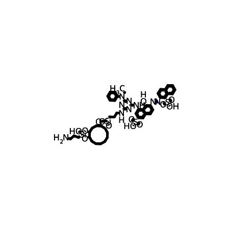 CCN(c1ccccc1)c1nc(NCCC[Si]23OC4CCCCCCC5O[Si](O)(CCCN)OC5CC(O2)C4O3)nc(Nc2cc(S(=O)(=O)O)cc3ccc(/N=N/c4ccc5ccccc5c4S(=O)(=O)O)c(O)c23)n1